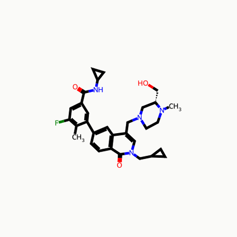 Cc1c(F)cc(C(=O)NC2CC2)cc1-c1ccc2c(=O)n(CC3CC3)cc(CN3CCN(C)[C@@H](CO)C3)c2c1